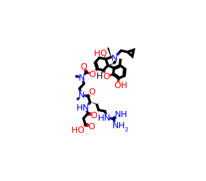 Cc1ccc(O)c2c1[C@]13CCN(CC4CC4)[C@H](C)[C@]1(O)CC=C(OC(=O)N(C)CCN(C)C(=O)[C@H](CCCNC(=N)N)NC(=O)CC(=O)O)[C@@H]3O2